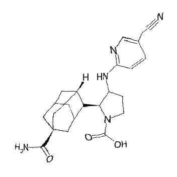 N#Cc1ccc(NC2CCN(C(=O)O)[C@H]2C2C3CC4C[C@H]2C[C@@](C(N)=O)(C4)C3)nc1